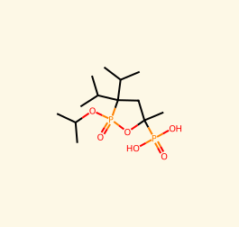 CC(C)OP1(=O)OC(C)(P(=O)(O)O)CC1(C(C)C)C(C)C